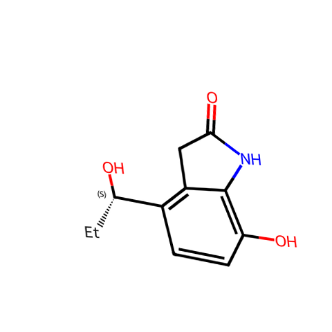 CC[C@H](O)c1ccc(O)c2c1CC(=O)N2